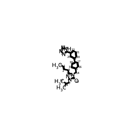 CC=CCc1nn(CC(C)C)c(=O)n1Cc1ccc(-c2cccc(-c3nnn[nH]3)c2)cc1